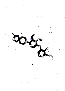 C=NN1C(Sc2ccnc(N)c2Cl)=CN=C(N2CCC3(CC2)CO[C@@H](C)C3)/C1=C/C